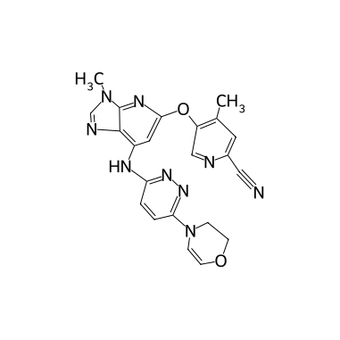 Cc1cc(C#N)ncc1Oc1cc(Nc2ccc(N3C=COCC3)nn2)c2ncn(C)c2n1